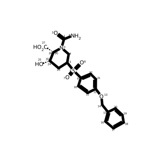 NC(=O)N1CC(S(=O)(=O)c2ccc(OCc3ccccc3)cc2)C[C@H](O)[C@@H]1C(=O)O